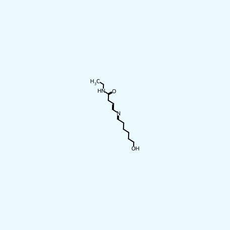 CCNC(=O)C/C=C/N=C/CCCCCO